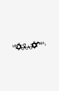 NCc1ccc(OCOC(=O)OC2CCNCC2)cc1